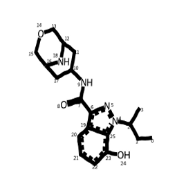 CCC(C)n1nc(C(=O)NC2CC3COCC(C2)N3)c2cccc(O)c21